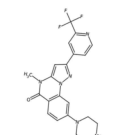 Cn1c(=O)c2ccc(N3CCNCC3)cc2n2nc(-c3ccnc(C(F)(F)F)c3)cc12